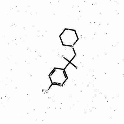 FC(F)(F)c1ccc(C(F)(F)CN2CC[CH]CC2)cn1